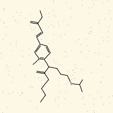 C=C(/C=C/c1ccc(C(CCCSC(C)C)C(=C)CCCC)c(C)c1)CC